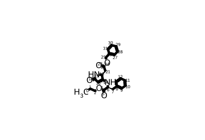 CCCOC(=O)[C@H](Cc1ccccc1)NC1=CC(=O)N[C@H]1CC(=O)OCc1ccccc1